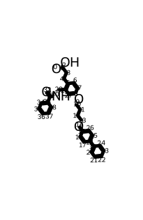 O=C(O)CCc1ccc(OCCCCOc2ccc(-c3ccccc3)cc2)cc1CNC(=O)c1ccccc1